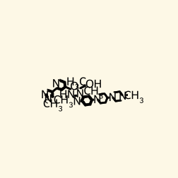 Cc1c(-c2cc(C(=O)Nc3nc4ccc(N5CCC(N6CCN(C)CC6)CC5)cc4n3CC(C)(C)O)ccn2)cnn1C